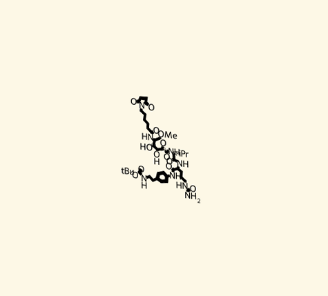 COC1O[C@H](C(=O)N[C@@H](C(=O)NC(CCCNC(N)=O)C(=O)Nc2ccc(CCNC(=O)OC(C)(C)C)cc2)C(C)C)C(O)[C@H](O)C1NC(=O)CCCCCN1C(=O)C=CC1=O